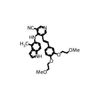 COCCOc1ccc(C=Cc2cncc(C#N)c2Nc2ccc3[nH]ccc3c2C)cc1OCCOC